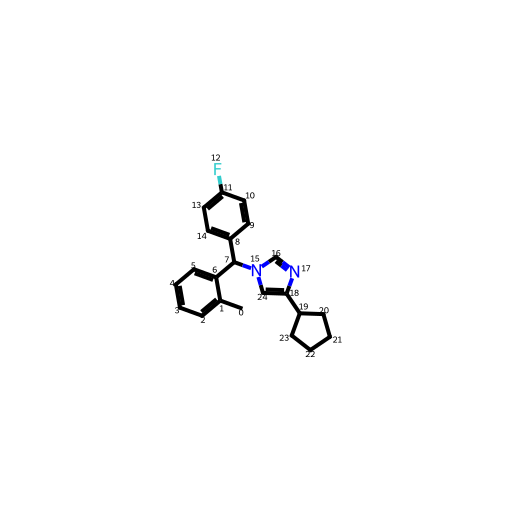 Cc1ccccc1C(c1ccc(F)cc1)n1cnc(C2CCCC2)c1